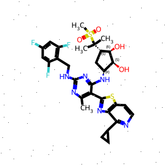 Cc1nc(NCc2c(F)cc(F)cc2F)nc(N[C@@H]2C[C@H](C(C)(C)S(C)(=O)=O)[C@@H](O)[C@H]2O)c1-c1nc2c(C3CC3)nccc2s1